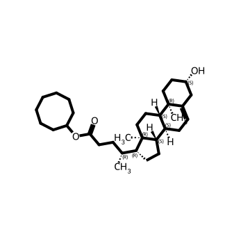 C[C@H](CCC(=O)OC1CCCCCCC1)[C@H]1CC[C@H]2[C@@H]3CC=C4C[C@@H](O)CC[C@]4(C)[C@H]3CC[C@]12C